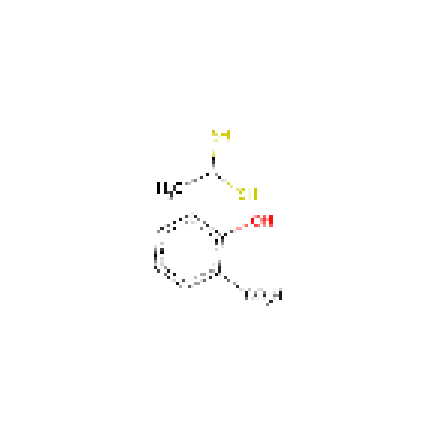 CC(S)S.O=C(O)c1ccccc1O